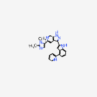 Cc1ncc(-c2cc3c(-c4cc5c(-c6ccccn6)cccc5[nH]4)n[nH]c3cn2)n1C